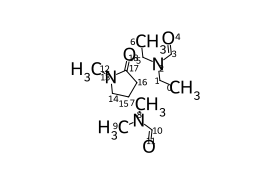 CCN(C=O)CC.CN(C)C=O.CN1CCCC1=O